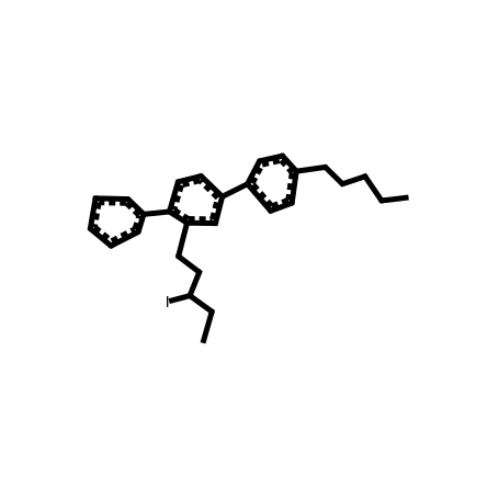 CCCCCc1ccc(-c2ccc(-c3ccccc3)c(CCC(I)CC)c2)cc1